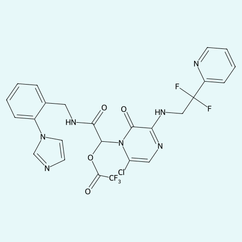 O=C(NCc1ccccc1-n1ccnc1)C(OC(=O)C(F)(F)F)n1c(Cl)cnc(NCC(F)(F)c2ccccn2)c1=O